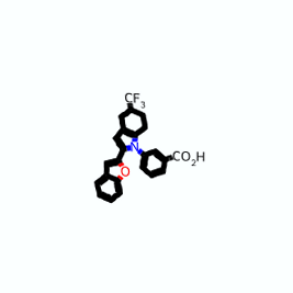 O=C(O)c1cccc(-n2c(-c3cc4ccccc4o3)cc3c2CCC(C(F)(F)F)C3)c1